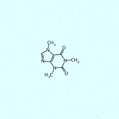 Cn1c(=O)c2c(n[c]n2C)n(C)c1=O